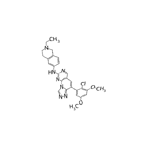 CCN1CCc2cc(Nc3ncc4cc(-c5cc(OC)cc(OC)c5Cl)c5nncn5c4n3)ccc2C1